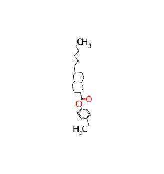 CCCCCCC1CCC2CC(C(=O)Oc3ccc(CC)cc3)CCC2C1